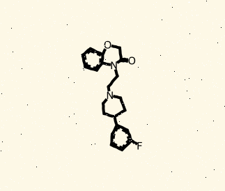 O=C1COc2ccccc2N1CCN1CCC(c2cccc(F)c2)CC1